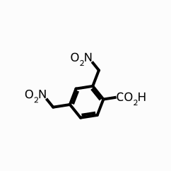 O=C(O)c1ccc(C[N+](=O)[O-])cc1C[N+](=O)[O-]